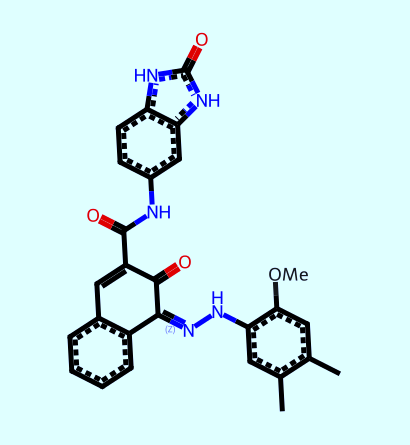 COc1cc(C)c(C)cc1N/N=C1\C(=O)C(C(=O)Nc2ccc3[nH]c(=O)[nH]c3c2)=Cc2ccccc21